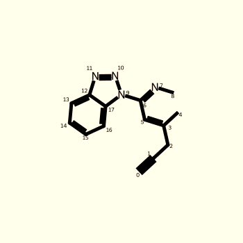 C#CC/C(C)=C/C(=N\C)n1nnc2ccccc21